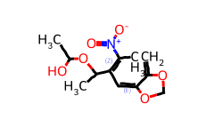 C=C1OCO/C1=C/C(=C(\C)[N+](=O)[O-])C(C)OC(C)O